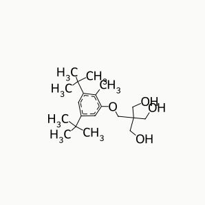 Cc1c(OCC(CO)(CO)CO)cc(C(C)(C)C)cc1C(C)(C)C